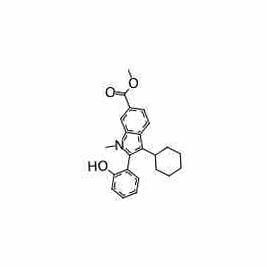 COC(=O)c1ccc2c(C3CCCCC3)c(-c3ccccc3O)n(C)c2c1